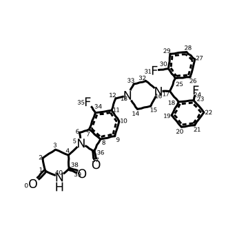 O=C1CCC(N2Cc3c(ccc(CN4CCN(C(c5ccccc5F)c5ccccc5F)CC4)c3F)C2=O)C(=O)N1